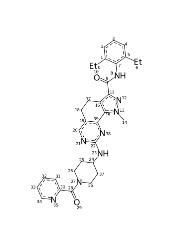 CCc1cccc(CC)c1NC(=O)c1nn(C)c2c1CCc1cnc(NC3CCN(C(=O)c4ccccn4)CC3)nc1-2